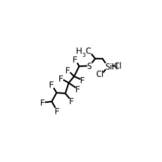 CC(C[SiH](Cl)Cl)SC(F)C(F)(F)C(F)(F)C(F)C(F)C(F)F